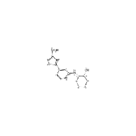 O=C(O)c1coc(-c2ccnc(N[C@H]3CCCC[C@H]3O)c2)n1